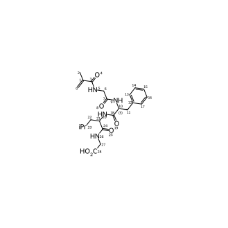 C=C(C)C(=O)NCC(=O)N[C@@H](Cc1ccccc1)C(=O)NC(CC(C)C)C(=O)NCC(=O)O